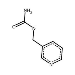 NC(=O)[N]Cc1cccnc1